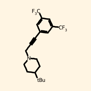 CC(C)(C)C1CCN(CC#Cc2cc(C(F)(F)F)cc(C(F)(F)F)c2)CC1